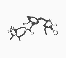 Cc1cc(Cc2ccc(F)c(C(=O)N3Cc4nnc(C)n4C(C)C3)c2)n[nH]c1=O